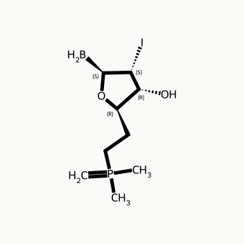 B[C@@H]1O[C@H](CCP(=C)(C)C)[C@@H](O)[C@H]1I